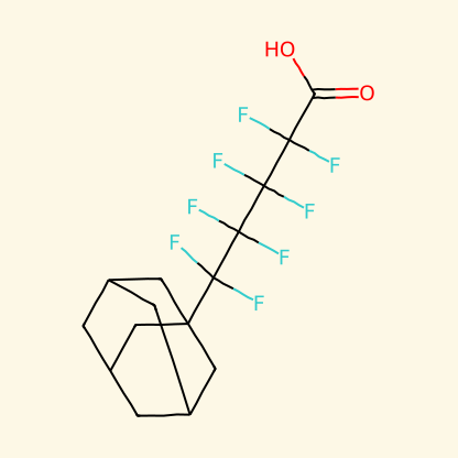 O=C(O)C(F)(F)C(F)(F)C(F)(F)C(F)(F)C12CC3CC(CC(C3)C1)C2